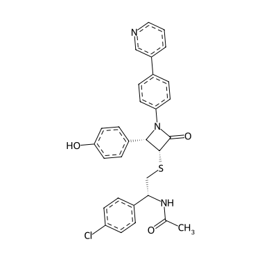 CC(=O)N[C@@H](CS[C@H]1C(=O)N(c2ccc(-c3cccnc3)cc2)[C@H]1c1ccc(O)cc1)c1ccc(Cl)cc1